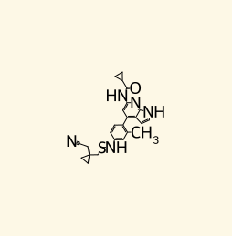 Cc1cc(NSCC2(CC#N)CC2)ccc1-c1cc(NC(=O)C2CC2)nc2[nH]ccc12